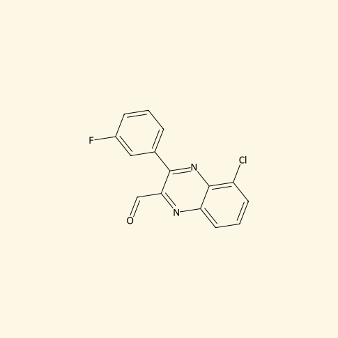 O=Cc1nc2cccc(Cl)c2nc1-c1cccc(F)c1